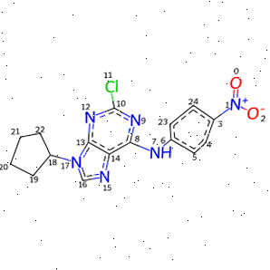 O=[N+]([O-])c1ccc(Nc2nc(Cl)nc3c2ncn3C2CCCC2)cc1